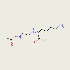 CC(=O)ON=CCN[C@@H](CCCCN)C(=O)O